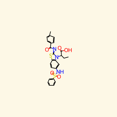 CCC(C(=O)O)n1/c(=N/C(=O)c2ccc(C)cc2)sc2ccc(NS(=O)(=O)c3ccccc3)cc21